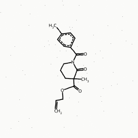 C=CCOC(=O)C1(C)CCCN(C(=O)c2ccc(C)cc2)C1=O